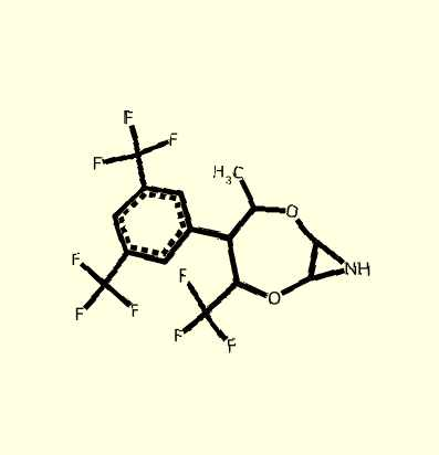 CC1OC2NC2OC(C(F)(F)F)C1c1cc(C(F)(F)F)cc(C(F)(F)F)c1